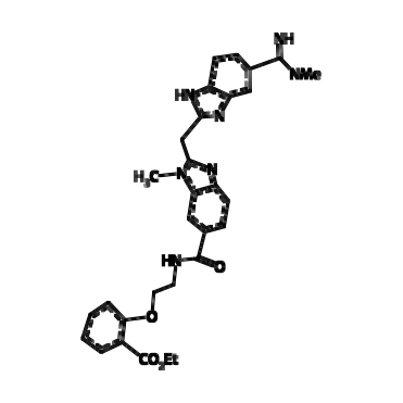 CCOC(=O)c1ccccc1OCCNC(=O)c1ccc2nc(Cc3nc4cc(C(=N)NC)ccc4[nH]3)n(C)c2c1